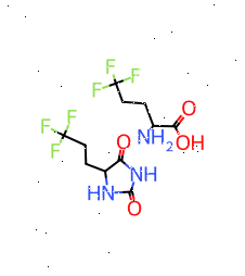 NC(CCC(F)(F)F)C(=O)O.O=C1NC(=O)C(CCC(F)(F)F)N1